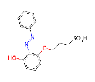 O=S(=O)(O)CCCOc1cccc(O)c1/N=N/c1ccccc1